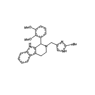 CCCCc1nc(CN2CCc3c([nH]c4ccccc34)C2c2cccc(OC)c2OC)c[nH]1